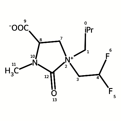 CC(C)C[N+]1(CC(F)F)CC(C(=O)[O-])N(C)C1=O